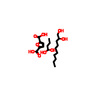 CCCC(O)O.CCCCCCCCC(O)CO.O=C(O)c1ccc(C(=O)O)o1